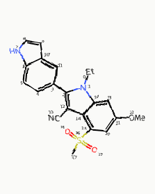 CCn1c(-c2ccc3[nH]ccc3c2)c(C#N)c2c(S(C)(=O)=O)cc(OC)cc21